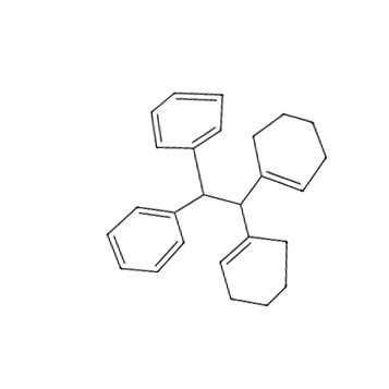 C1=C(C(C2=CCCCC2)C(c2ccccc2)c2ccccc2)CCCC1